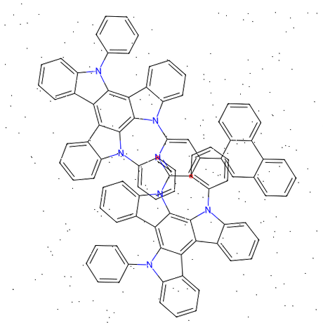 c1ccc(-n2c3ccccc3c3c4c5ccccc5n(-c5ccccc5)c4c4c(c5ccccc5n4-c4cc(-c5cc6ccccc6c6ccccc56)cc(-n5c6ccccc6c6c7c(c8ccccc8n7-c7ccccc7)c7c8ccccc8n(-c8ccccc8)c7c65)n4)c32)cc1